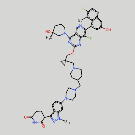 CCc1c(F)ccc2cc(O)cc(-c3ncc4c(N5CCC[C@@](C)(O)C5)nc(OCC5(CN6CCC(CN7CCN(c8ccc9c(C%10CCC(=O)NC%10=O)nn(C)c9c8)CC7)CC6)CC5)nc4c3F)c12